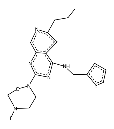 CCCc1cc2c(NCc3cccs3)nc(N3CCN(I)CC3)nc2cn1